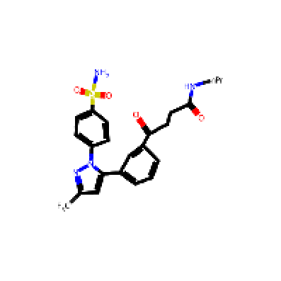 CCCNC(=O)CCC(=O)c1cccc(-c2cc(C(F)(F)F)nn2-c2ccc(S(N)(=O)=O)cc2)c1